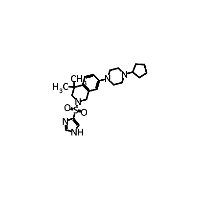 CC1(C)CN(S(=O)(=O)c2c[nH]cn2)Cc2cc(N3CCN(C4CCCC4)CC3)ccc21